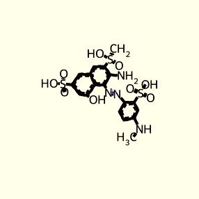 C=S(=O)(O)c1cc2cc(S(=O)(=O)O)cc(O)c2c(/N=N/c2ccc(NC)cc2S(=O)(=O)O)c1N